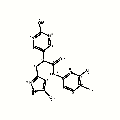 COc1ncc(N(Cc2cc(C(F)(F)F)[nH]n2)C(=O)Nc2ccc(F)c(Cl)n2)cn1